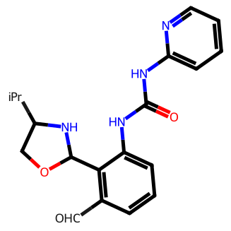 CC(C)C1COC(c2c(C=O)cccc2NC(=O)Nc2ccccn2)N1